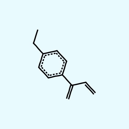 C=CC(=C)c1ccc(CC)cc1